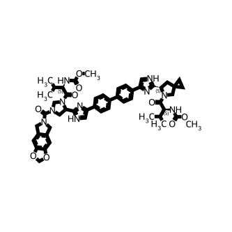 COC(=O)N[C@H](C(=O)N1CN(C(=O)N2Cc3cc4c(cc3C2)OCO4)CC1c1nc(-c2ccc(-c3ccc(-c4c[nH]c([C@@H]5CC6(CC6)CN5C(=O)[C@@H](NC(=O)OC)C(C)C)n4)cc3)cc2)c[nH]1)C(C)C